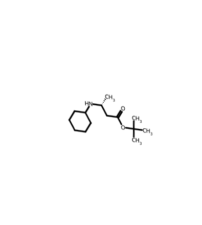 C[C@H](CC(=O)OC(C)(C)C)NC1CCCCC1